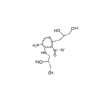 Nc1ccc(CC(O)CO)c([N+](=O)[O-])c1NCC(O)CO